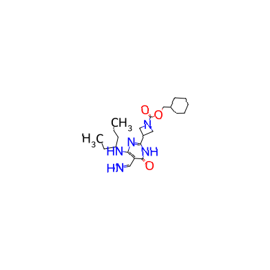 CCCC(CC)Nc1nc(C2CN(C(=O)OCC3CCCCC3)C2)[nH]c(=O)c1C=N